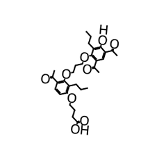 CCCc1c(OCCCC(=O)O)ccc(C(C)=O)c1OCCCOc1c(C(C)=O)cc(C(C)=O)c(O)c1CCC